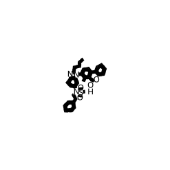 CCCCc1nc2ccc(N(CCc3ccccc3)S(C)(=O)=O)cc2n1-c1ccc(-c2ccccc2)c(C(=O)O)c1C